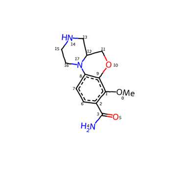 COc1c(C(N)=O)ccc2c1OCC1CNCCN21